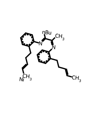 CC=CCCc1ccccc1N=C(C)C(CCCC)=Nc1ccccc1CCC=CC.[Ni]